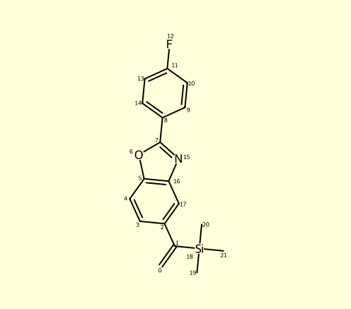 C=C(c1ccc2oc(-c3ccc(F)cc3)nc2c1)[Si](C)(C)C